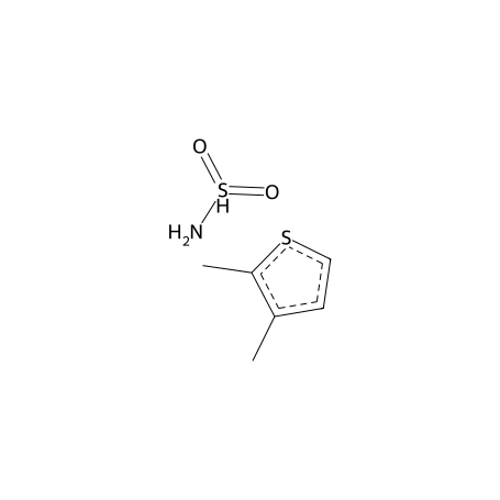 Cc1ccsc1C.N[SH](=O)=O